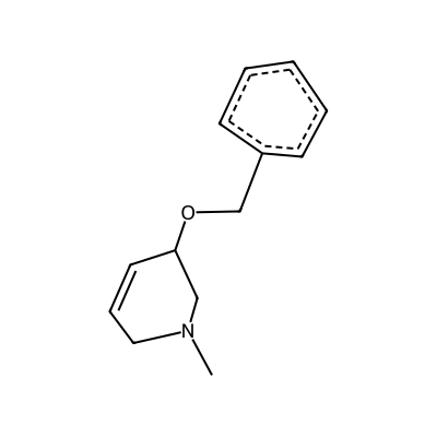 CN1CC=CC(OCc2ccccc2)C1